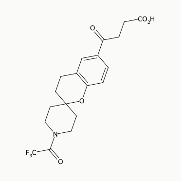 O=C(O)CCC(=O)c1ccc2c(c1)CCC1(CCN(C(=O)C(F)(F)F)CC1)O2